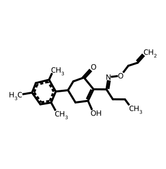 C=CCON=C(CCC)C1=C(O)CC(c2c(C)cc(C)cc2C)CC1=O